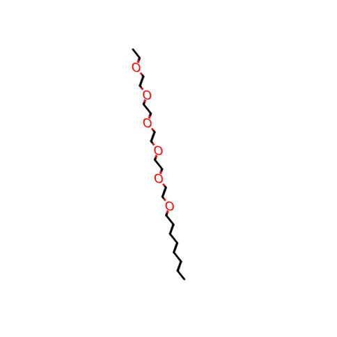 CCCCCCCCOCCOCCOCCOCCOCCOCC